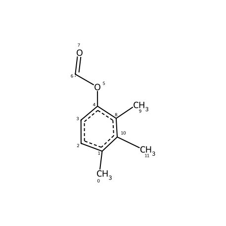 Cc1ccc(O[C]=O)c(C)c1C